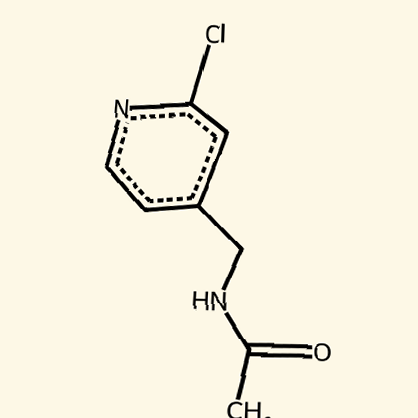 CC(=O)NCc1ccnc(Cl)c1